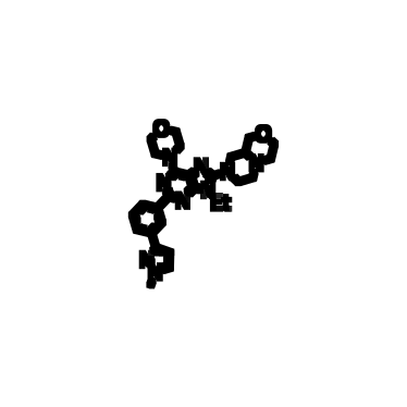 CCn1c(N2CCN3CCOCC3C2)nc2c(N3CCOCC3)nc(-c3cccc(-c4ccn(C)n4)c3)nc21